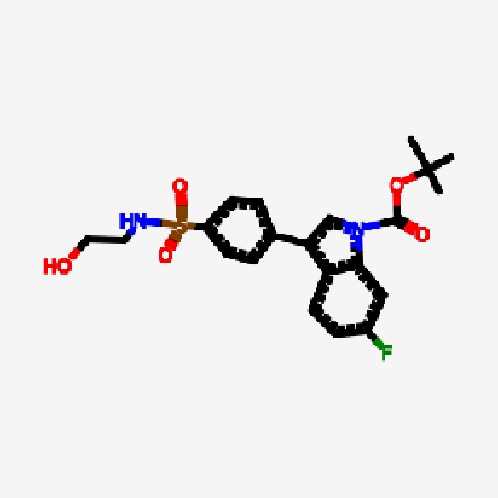 CC(C)(C)OC(=O)n1cc(-c2ccc(S(=O)(=O)NCCO)cc2)c2ccc(F)cc21